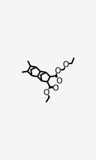 CCOCOC(=O)C1C2CC(C1C(=O)OCC)C1C3CC(C(C)C3C)C21